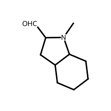 CN1C(C=O)CC2CCCCC21